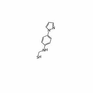 SCNc1ccc(-n2cccn2)cc1